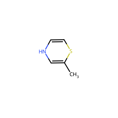 CC1=CNC=CS1